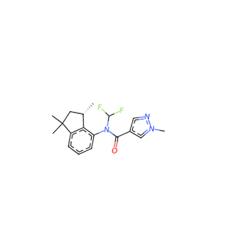 C[C@H]1CC(C)(C)c2cccc(N(C(=O)c3cnn(C)c3)C(F)F)c21